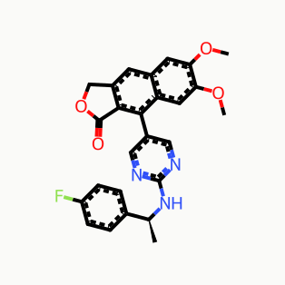 COc1cc2cc3c(c(-c4cnc(N[C@@H](C)c5ccc(F)cc5)nc4)c2cc1OC)C(=O)OC3